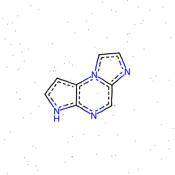 [c]1nc2[nH]ccc2n2ccnc12